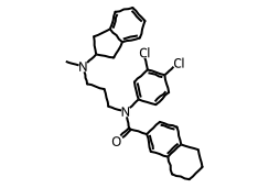 CN(CCCN(C(=O)c1ccc2c(c1)CCCC2)c1ccc(Cl)c(Cl)c1)C1Cc2ccccc2C1